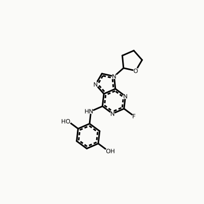 Oc1ccc(O)c(Nc2nc(F)nc3c2ncn3C2CCCO2)c1